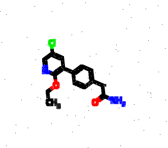 CCOc1ncc(Cl)cc1-c1ccc([CH]C(N)=O)cc1